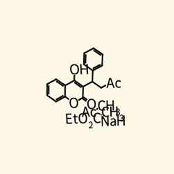 CC(=O)CC(c1ccccc1)c1c(O)c2ccccc2oc1=O.CC(C)=O.CCOC(C)=O.[NaH]